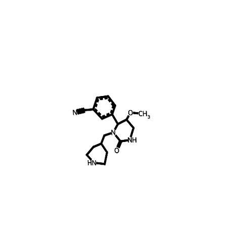 COC1CNC(=O)N(CC2CCNCC2)C1c1cccc(C#N)c1